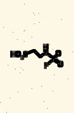 O=S(=O)(O)CCNS(=O)(=O)F